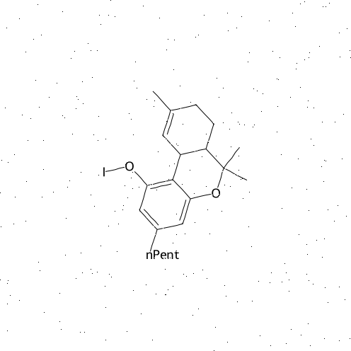 CCCCCc1cc(OI)c2c(c1)OC(C)(C)C1CCC(C)=CC21